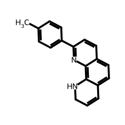 Cc1ccc(-c2ccc3ccc4c(c3n2)NCC=C4)cc1